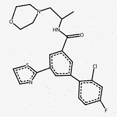 CC(CN1CCOCC1)NC(=O)c1cc(-c2nccs2)cc(-c2ccc(F)cc2Cl)c1